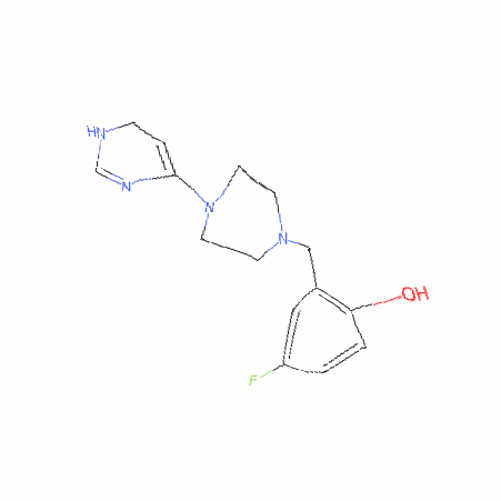 Oc1ccc(F)cc1CN1CCN(C2=CCNC=N2)CC1